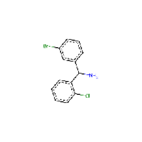 NC(c1cccc(Br)c1)c1ccccc1Cl